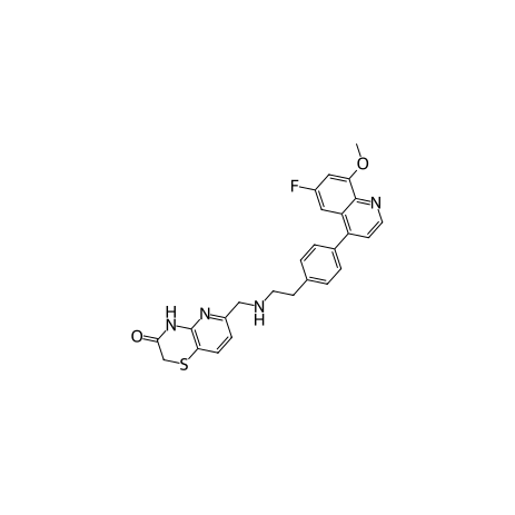 COc1cc(F)cc2c(-c3ccc(CCNCc4ccc5c(n4)NC(=O)CS5)cc3)ccnc12